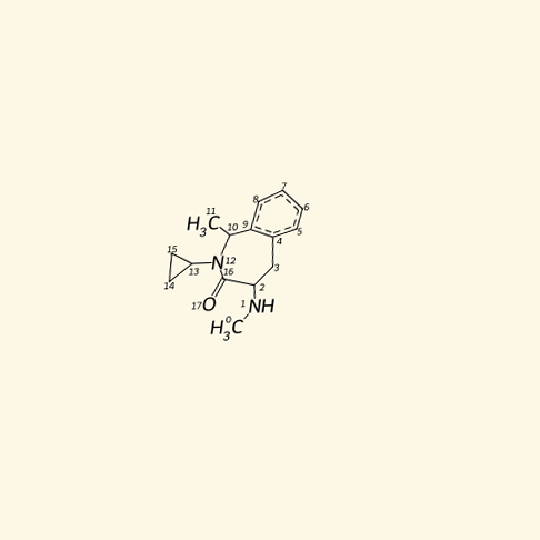 CNC1Cc2ccccc2C(C)N(C2CC2)C1=O